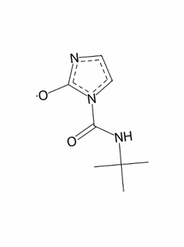 CC(C)(C)NC(=O)n1ccnc1[O]